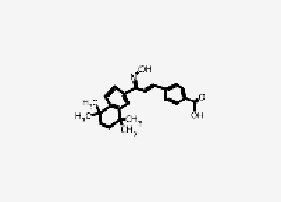 CC1(C)CCC(C)(C)c2cc(C(/C=C/c3ccc(C(=O)O)cc3)=NO)ccc21